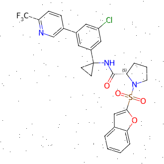 O=C(NC1(c2cc(Cl)cc(-c3ccc(C(F)(F)F)nc3)c2)CC1)[C@@H]1CCCN1S(=O)(=O)c1cc2ccccc2o1